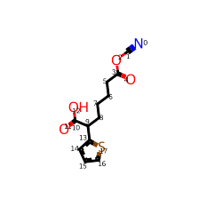 N#COC(=O)CCCCC(C(=O)O)c1cccs1